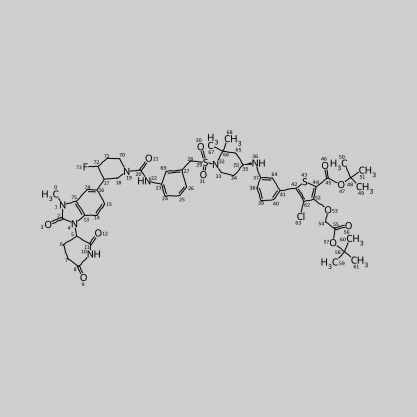 Cn1c(=O)n(C2CCC(=O)NC2=O)c2ccc(C3CN(C(=O)Nc4cccc(CS(=O)(=O)N5CC[C@H](Nc6cccc(-c7sc(C(=O)OC(C)(C)C)c(OCC(=O)OC(C)(C)C)c7Cl)c6)CC5(C)C)c4)CCC3F)cc21